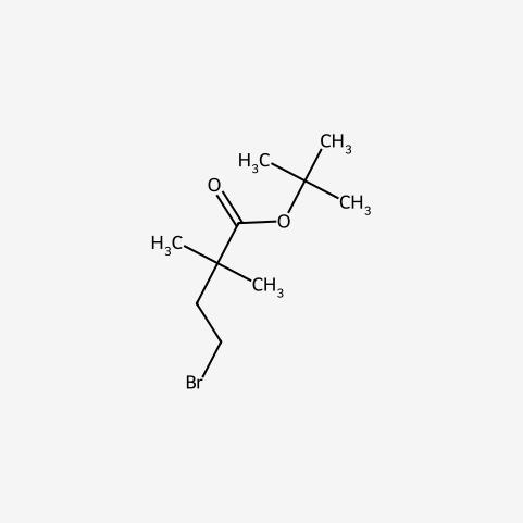 CC(C)(C)OC(=O)C(C)(C)CCBr